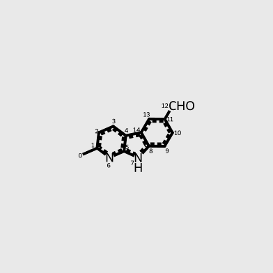 Cc1ccc2c(n1)[nH]c1ccc(C=O)cc12